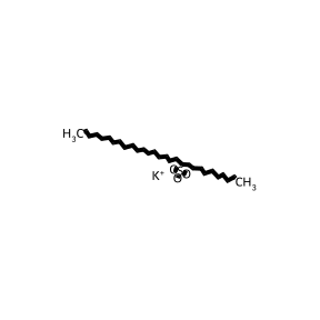 CCCCCCCCCCCCCCCCCCC(CCCCCCCCCC)S(=O)(=O)[O-].[K+]